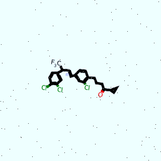 O=C(CCCc1ccc(/C=C/C(c2ccc(Cl)c(Cl)c2)C(F)(F)F)cc1Cl)C1CC1